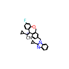 N#C/C(=C1\c2ccc(Cn3c(C4CC4)nc4ccccc43)cc2COc2cc(F)ccc21)C1CC1